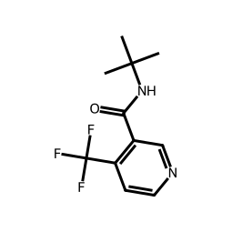 CC(C)(C)NC(=O)c1cnccc1C(F)(F)F